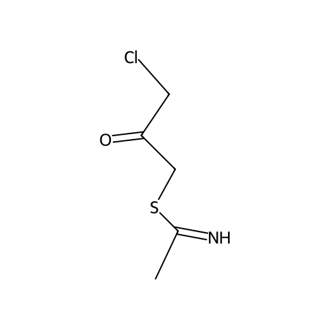 CC(=N)SCC(=O)CCl